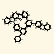 c1ccc(-c2ccc(-c3cc(-c4ccc5c(c4)sc4ccccc45)nc(-c4cccc5c4oc4c5ccc5c6ccccc6n(-c6ccccc6)c54)c3)cc2)cc1